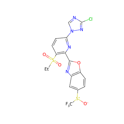 CCS(=O)(=O)c1ccc(-n2cnc(Cl)n2)nc1-c1nc2cc([S+]([O-])C(F)(F)F)ccc2o1